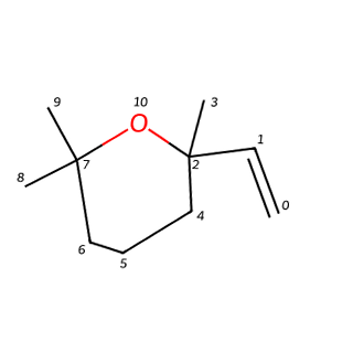 C=CC1(C)CCCC(C)(C)O1